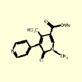 COC(=O)c1cn(C)c(=O)c(-c2ccncc2)c1C(=O)O